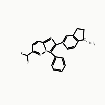 N[C@H]1CCc2cc(-c3nc4ccc(C(F)F)nn4c3-c3ccccc3)ccc21